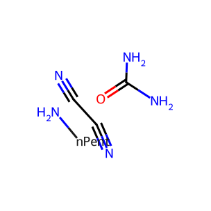 CCCCCN.N#CC#N.NC(N)=O